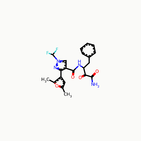 Cc1cc(-c2nn(C(F)F)cc2C(=O)NC(Cc2ccccc2)C(=O)C(N)=O)c(C)o1